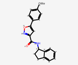 COc1ccc(-c2cc(C(=O)NC3CCc4ccccc43)no2)cc1